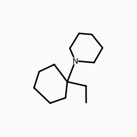 CCC1(N2CCCCC2)CCCCC1